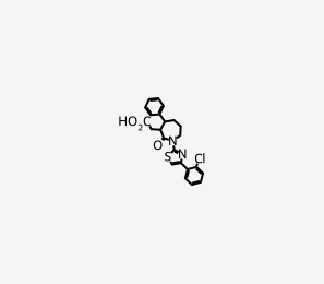 O=C(O)CC1C(=O)N(c2nc(-c3ccccc3Cl)cs2)CCCC1c1ccccc1